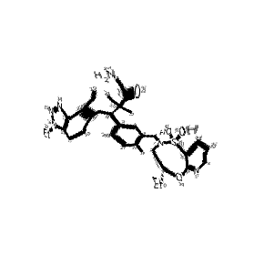 CC[C@@H]1CN(Cc2cc([C@@H](c3ccc4c(nnn4CC)c3C)C(C)(C)C(N)=O)ccc2C)S(O)(O)c2cccnc2O1